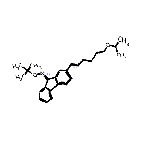 CC(C)OCCCC/C=C/c1ccc2c(c1)/C(=N/OC(C)(C)C)c1ccccc1-2